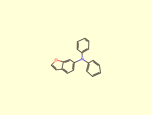 c1ccc(N(c2ccccc2)c2ccc3ccoc3c2)cc1